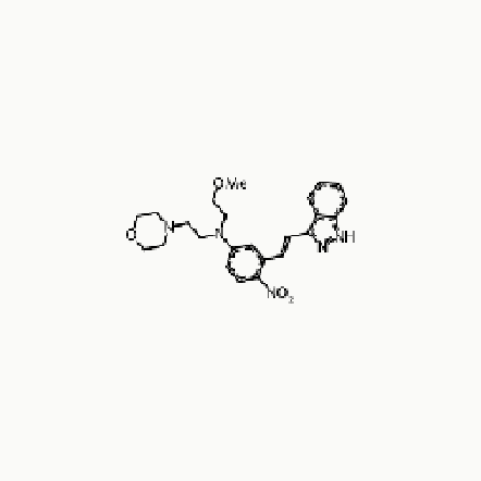 COCCN(CCN1CCOCC1)c1ccc([N+](=O)[O-])c(C=Cc2n[nH]c3ccccc23)c1